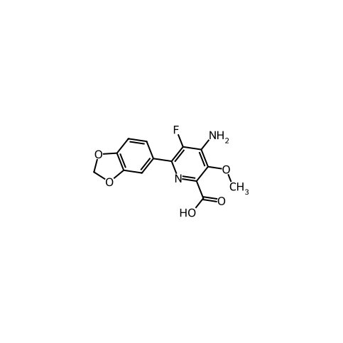 COc1c(C(=O)O)nc(-c2ccc3c(c2)OCO3)c(F)c1N